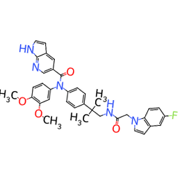 COc1ccc(N(C(=O)c2cnc3[nH]ccc3c2)c2ccc(C(C)(C)CNC(=O)Cn3ccc4cc(F)ccc43)cc2)cc1OC